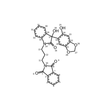 O=C1c2ccccc2C(=O)N1CCCN1C(=O)C(O)(c2cc3c(cc2O)OCO3)c2ccccc21